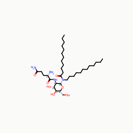 CCCCCCCCCCCCN(C(=O)CCCCCCCCCCC)[C@@H]1O[C@H](CO)[C@@H](O)[C@H](O)[C@H]1NC(=O)[C@@H](N)CCC(N)=O